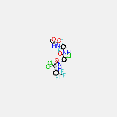 O=C(Nc1ccc(F)c(NC(=O)[C@@H]2CCCO2)c1F)c1cc(NC(=O)[C@H]2[C@H](c3ccc(F)c(C(F)(F)F)c3)C2(Cl)Cl)ccc1Cl